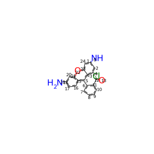 N=c1ccc2c(-c3ccccc3C(=O)Cl)c3ccc(N)cc3oc-2c1